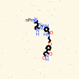 CCCn1cc(-c2nc(Nc3ccc(C(=O)NCCCCOc4ccc(C5CCC(=O)NC5=O)cc4)cc3)nc3[nH]ccc23)cn1